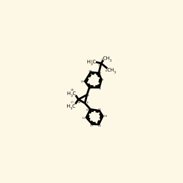 CC(C)(C)c1ccc(C2C(c3ccccc3)C2(C)C)cc1